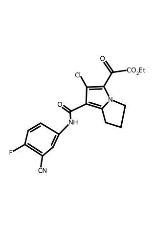 CCOC(=O)C(=O)c1c(Cl)c(C(=O)Nc2ccc(F)c(C#N)c2)c2n1CCC2